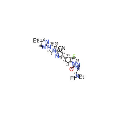 CCc1cnc(N2CCN(c3ncc(-c4ccc(-n5cnn(CCN(CC)CC)c5=O)c(F)c4)cc3C#N)C(C)C2)nc1